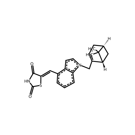 CC1(C)[C@H]2CC=C(Cn3ccc4c(C=C5SC(=O)NC5=O)cccc43)[C@H]1C2